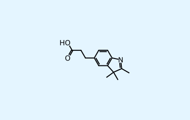 CC1=Nc2ccc(CCC(=O)O)cc2C1(C)C